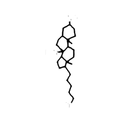 CC(C)CCCCCC1CCC2C1(C)CCC1C3(C)CCC(N=O)CC3CCC21N